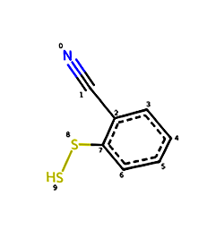 N#Cc1ccccc1SS